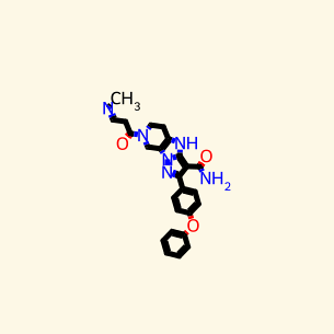 C/N=C\CC(=O)N1CCc2[nH]c3c(C(N)=O)c(-c4ccc(Oc5ccccc5)cc4)nn3c2C1